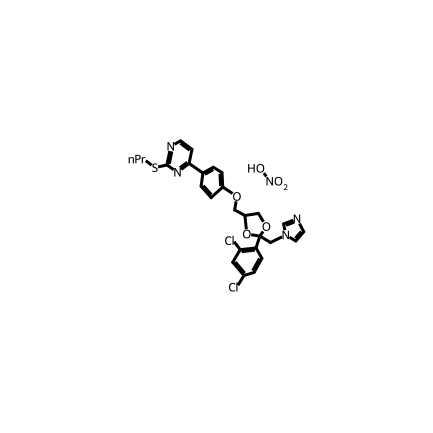 CCCSc1nccc(-c2ccc(OCC3COC(Cn4ccnc4)(c4ccc(Cl)cc4Cl)O3)cc2)n1.O=[N+]([O-])O